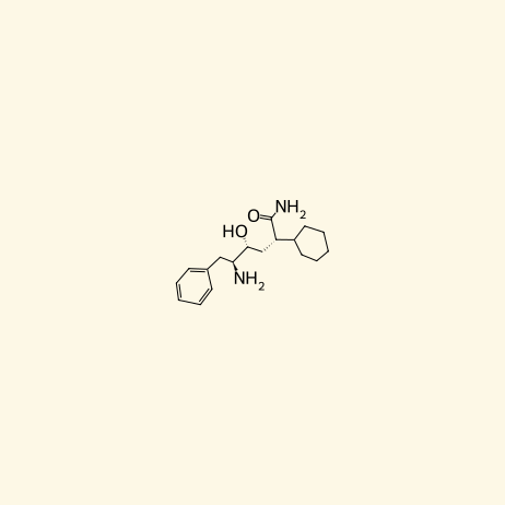 NC(=O)[C@@H](C[C@@H](O)[C@@H](N)Cc1ccccc1)C1CCCCC1